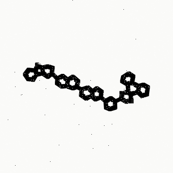 c1cc(-c2ccc3cc(-c4ccc5cc(-c6ccc7sc8ccccc8c7c6)ccc5c4)ccc3c2)cc(-c2cnc3c4ccccc4c4ccccc4c3n2)c1